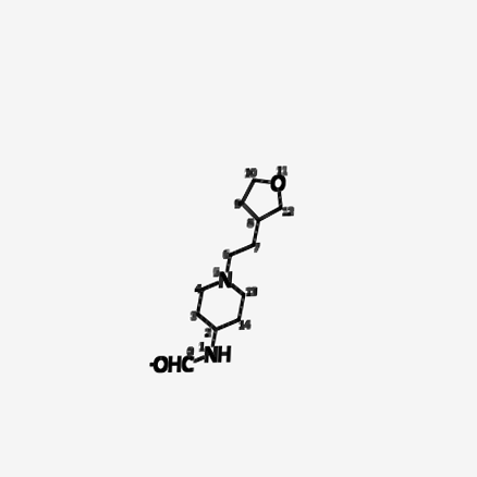 O=[C]NC1CCN(CCC2CCOC2)CC1